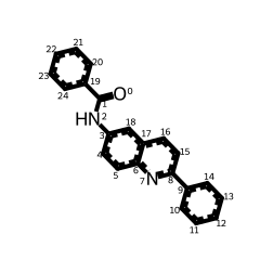 O=C(Nc1ccc2nc(-c3ccccc3)ccc2c1)c1ccccc1